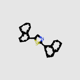 c1ccc2c(-c3cnc(-c4cccc5ccccc45)s3)cccc2c1